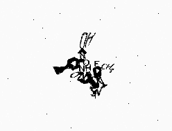 Cc1ccc([C@]2(c3ncns3)CCN(C(=O)Nc3cc(C4CC4)ccc3C(=O)N3CC(O)C3)C2)cc1F